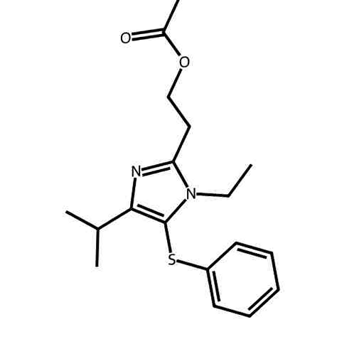 CCn1c(CCOC(C)=O)nc(C(C)C)c1Sc1ccccc1